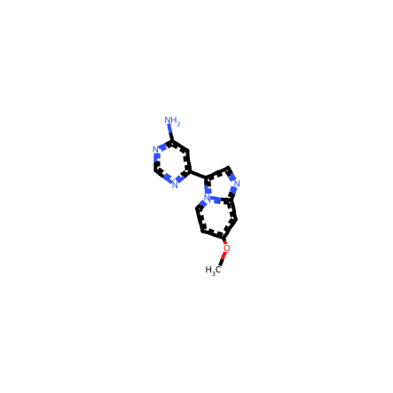 COc1ccn2c(-c3cc(N)ncn3)cnc2c1